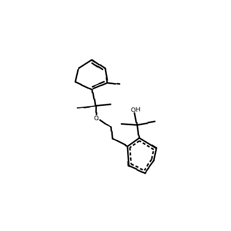 CC1=C(C(C)(C)OCCc2ccccc2C(C)(C)O)CCC=C1